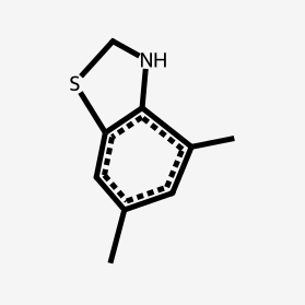 Cc1cc(C)c2c(c1)SCN2